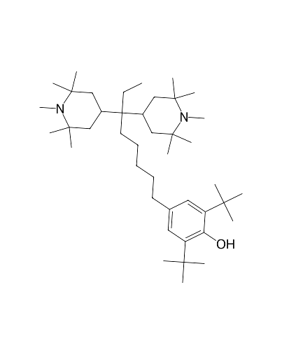 CCC(CCCCCc1cc(C(C)(C)C)c(O)c(C(C)(C)C)c1)(C1CC(C)(C)N(C)C(C)(C)C1)C1CC(C)(C)N(C)C(C)(C)C1